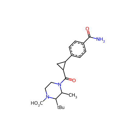 CC1C(C(C)(C)C)N(C(=O)O)CCN1C(=O)C1CC1c1ccc(C(N)=O)cc1